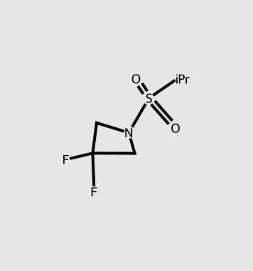 CC(C)S(=O)(=O)N1CC(F)(F)C1